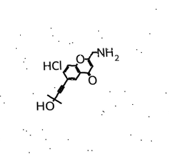 CC(C)(O)C#Cc1ccc2oc(CN)cc(=O)c2c1.Cl